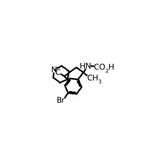 CC(CC1CN2CCC1CC2)(NC(=O)O)c1ccc(Br)cc1